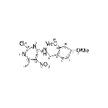 COc1ccc(CNc2nc(Cl)nc(C)c2[N+](=O)[O-])c(OC)c1